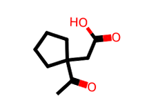 CC(=O)C1(CC(=O)O)CCCC1